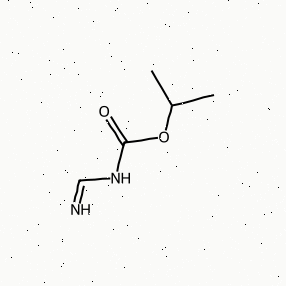 CC(C)OC(=O)NC=N